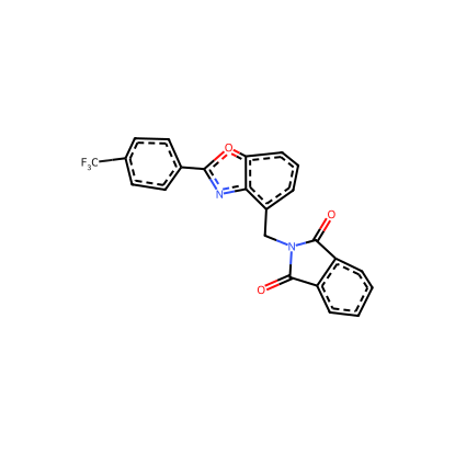 O=C1c2ccccc2C(=O)N1Cc1cccc2oc(-c3ccc(C(F)(F)F)cc3)nc12